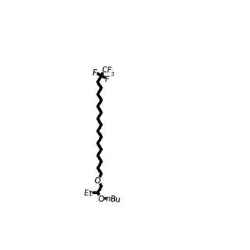 CCCCOC(CC)COCCCCCCCCCCCCCCCCC(F)(F)C(F)(F)F